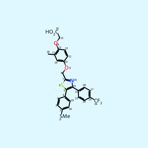 CSc1ccc(-c2sc(COc3ccc(OCC(=O)O)c(C)c3)nc2-c2ccc(C(F)(F)F)cc2)cc1